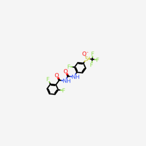 O=C(NC(=O)c1c(F)cccc1F)Nc1ccc([S+]([O-])C(F)(F)F)cc1F